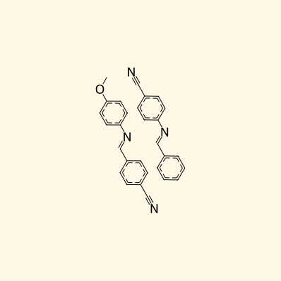 COc1ccc(N=Cc2ccc(C#N)cc2)cc1.N#Cc1ccc(N=Cc2ccccc2)cc1